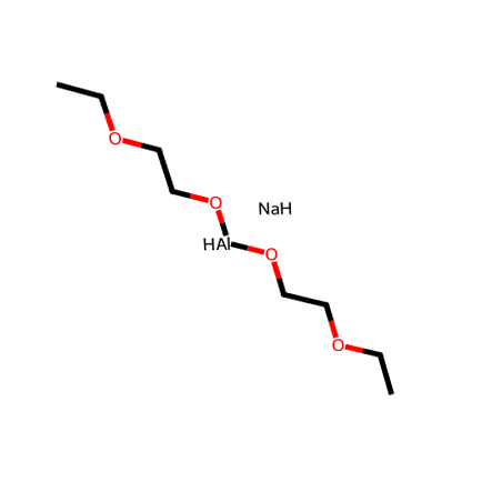 CCOCC[O][AlH][O]CCOCC.[NaH]